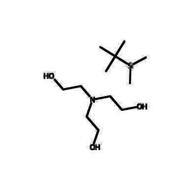 C[Si](C)C(C)(C)C.OCCN(CCO)CCO